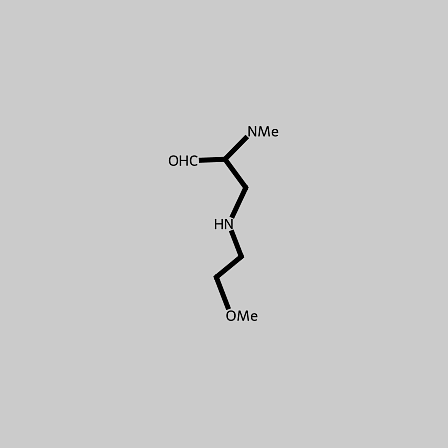 CNC(C=O)CNCCOC